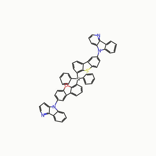 c1ccc([Si](c2ccccc2)(c2cccc3c2oc2ccc(-n4c5ccccc5c5ncccc54)cc23)c2cccc3c2sc2ccc(-n4c5ccccc5c5ncccc54)cc23)cc1